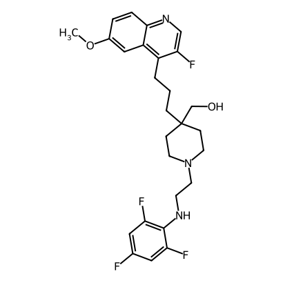 COc1ccc2ncc(F)c(CCCC3(CO)CCN(CCNc4c(F)cc(F)cc4F)CC3)c2c1